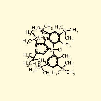 Cc1c([Si](C)(C)C)cc([Si](C)(C)C)cc1[Si](Cl)(c1cc([Si](C)(C)C)cc([Si](C)(C)C)c1C)c1cc([Si](C)(C)C)cc([Si](C)(C)C)c1C